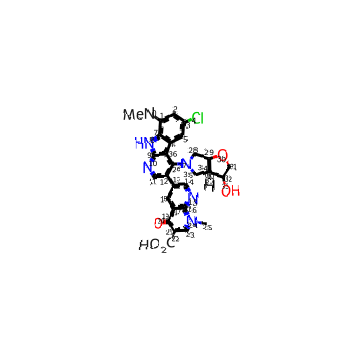 CNc1cc(Cl)cc2c1[nH]c1ncc(-c3cnc4c(c3)c(=O)c(C(=O)O)cn4C)c(N3CC4OCC(O)[C@H]4C3)c12